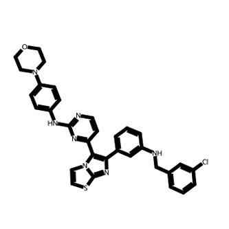 Clc1cccc(CNc2cccc(-c3nc4sccn4c3-c3ccnc(Nc4ccc(N5CCOCC5)cc4)n3)c2)c1